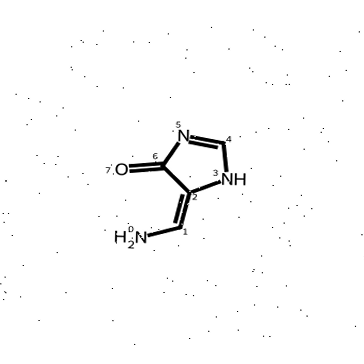 NC=C1NC=NC1=O